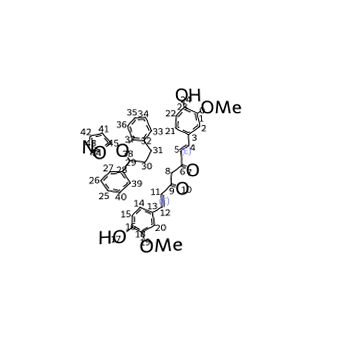 COc1cc(/C=C/C(=O)CC(=O)/C=C/c2ccc(O)c(OC)c2)ccc1O.c1ccc(C2CCc3ccccc3O2)cc1.c1cnoc1